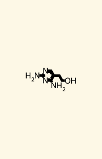 Nc1ncc(CCO)c(N)n1